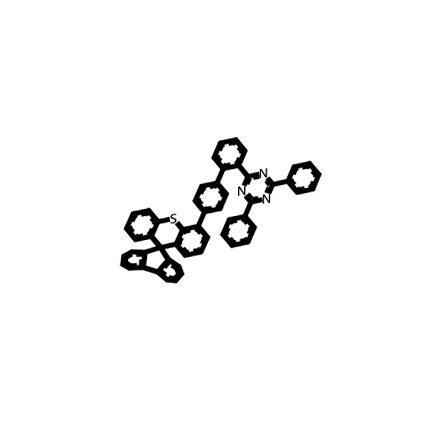 c1ccc(-c2nc(-c3ccccc3)nc(-c3ccccc3-c3ccc(-c4cccc5c4Sc4ccccc4C54c5ccccc5-c5ccccc54)cc3)n2)cc1